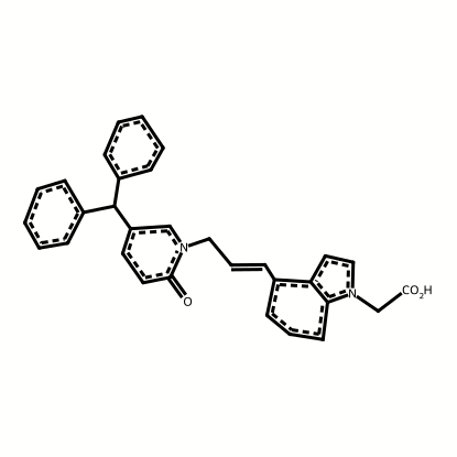 O=C(O)Cn1ccc2c(C=CCn3cc(C(c4ccccc4)c4ccccc4)ccc3=O)cccc21